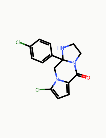 O=C1c2ccc(Cl)n2CC2(c3ccc(Cl)cc3)NCCN12